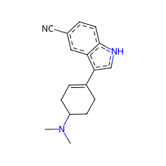 CN(C)C1CC=C(c2c[nH]c3ccc(C#N)cc23)CC1